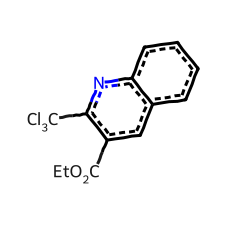 CCOC(=O)c1cc2ccccc2nc1C(Cl)(Cl)Cl